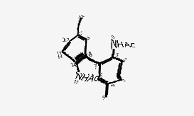 CC(=O)Nc1ccc(C)cc1-c1cc(C)ccc1NC(C)=O